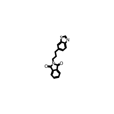 O=C1c2ccccc2C(=O)N1CCCc1ccc2ncsc2c1